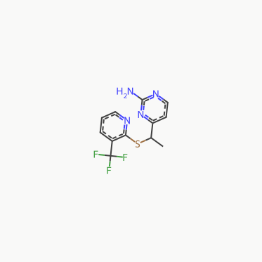 CC(Sc1ncccc1C(F)(F)F)c1ccnc(N)n1